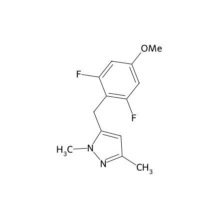 COc1cc(F)c(Cc2cc(C)nn2C)c(F)c1